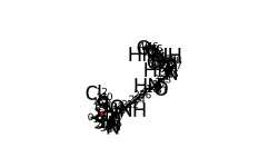 Cc1sc2c(c1C)C(c1ccc(Cl)cc1)=N[C@@H](CC(=O)NCCCCCCCCNC(=O)CCc1nc3cccc(C(=O)NC4CCC(=O)NC4=O)c3[nH]1)c1nnc(C)n1-2